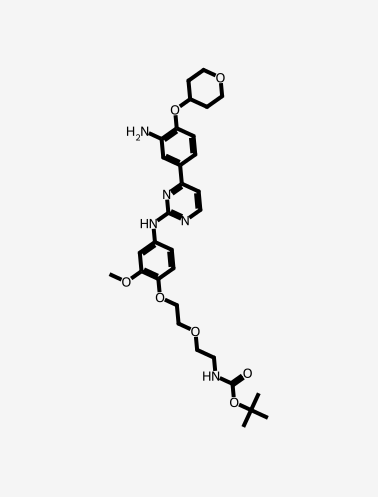 COc1cc(Nc2nccc(-c3ccc(OC4CCOCC4)c(N)c3)n2)ccc1OCCOCCNC(=O)OC(C)(C)C